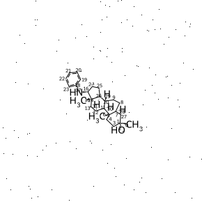 C[C@@]1(O)CC[C@@]2(C)[C@@H](CC[C@@H]3[C@@H]2CC[C@]2(C)[C@@H](Nc4ccccc4)CC[C@@H]32)C1